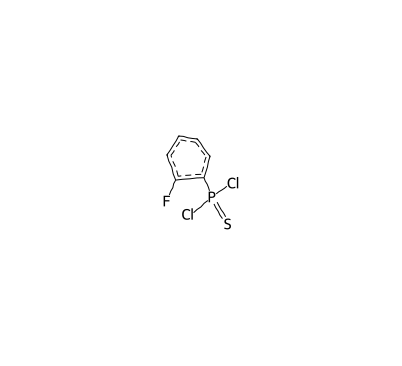 Fc1ccccc1P(=S)(Cl)Cl